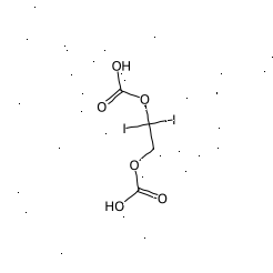 O=C(O)OCC(I)(I)OC(=O)O